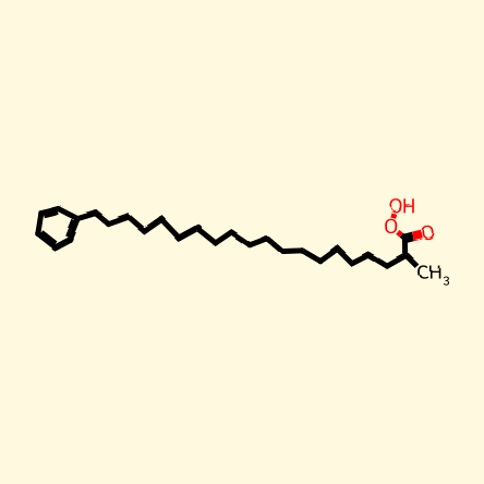 CC(CCCCCCCCCCCCCCCCCCc1ccccc1)C(=O)OO